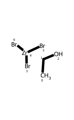 CCO.[Br][Zr]([Br])[Br]